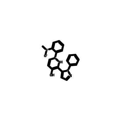 C[S+]([O-])c1ccccc1N1C=CC(O)=C(c2ccnn2-c2ccccc2)N1